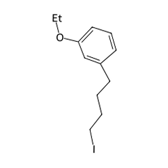 CCOc1cccc(CCCCI)c1